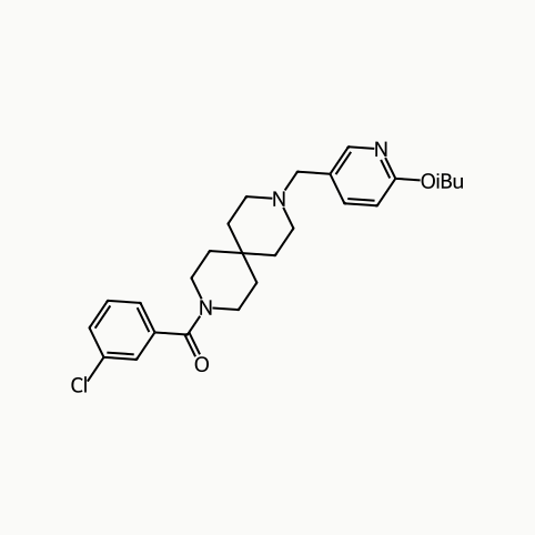 CC(C)COc1ccc(CN2CCC3(CC2)CCN(C(=O)c2cccc(Cl)c2)CC3)cn1